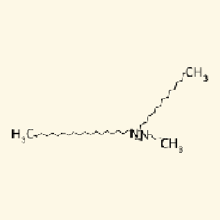 CCCCCCCCCCCCCCCCCCCN1C=CN(CCCC)C1CCCCCCCCCCCCCC